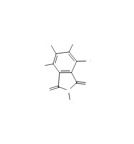 O=C1c2c(O)c(Cl)c(Cl)c(Cl)c2C(=O)N1Cl